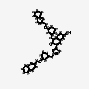 O=c1c(-c2nnn(Cc3cccc(OCc4ccc5ccccc5n4)c3)n2)cc2cc(O)ccc2n1Cc1cccc(OCc2ccc3ccccc3n2)c1